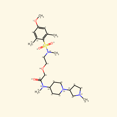 COc1cc(C)c(S(=O)(=O)N(C)CCOCC(=O)N(C)C2CCN(C3CCN(C)C3)CC2)c(C)c1